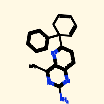 CCCc1nc(N)nc2ccc(C3(c4ccccc4)C=CC=CC3)nc12